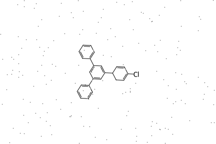 ClC1=CCC(c2cc(-c3ccccc3)cc(-c3ccccc3)c2)C=C1